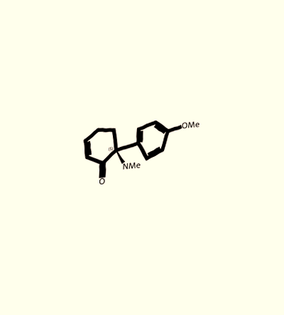 CN[C@]1(c2ccc(OC)cc2)CCC=CC1=O